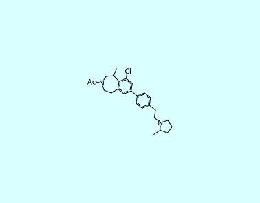 CC(=O)N1CCc2cc(-c3ccc(CCN4CCCC4C)cc3)cc(Cl)c2C(C)C1